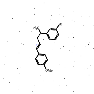 COc1ccc(/C=C/CC(C)c2cccc(C(C)C)c2)cc1